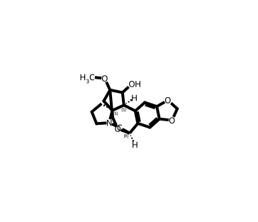 COC12CO[C@H]3CN4CCC[C@]4(C1)[C@H](c1cc4c(cc13)OCO4)C2O